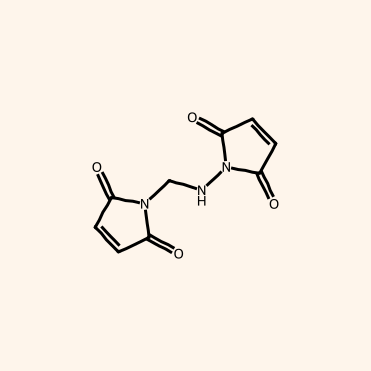 O=C1C=CC(=O)N1CNN1C(=O)C=CC1=O